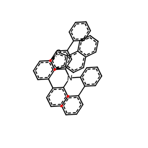 c1ccc(-c2cccc(N(c3ccccc3-c3ccccc3)c3ccccc3-c3cccc4oc5c6ccccc6ccc5c34)c2)cc1